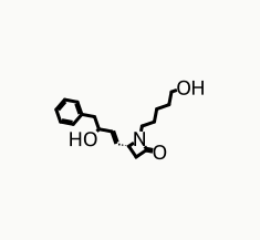 O=C1C[C@H](/C=C/C(O)Cc2ccccc2)N1CCCCCO